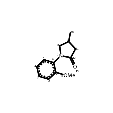 COc1ccccc1N1CC(C)CC1=O